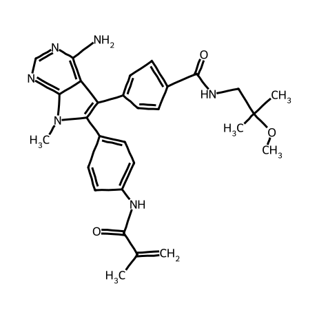 C=C(C)C(=O)Nc1ccc(-c2c(-c3ccc(C(=O)NCC(C)(C)OC)cc3)c3c(N)ncnc3n2C)cc1